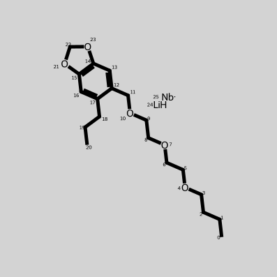 CCCCOCCOCCOCc1cc2c(cc1CCC)OCO2.[LiH].[Nb]